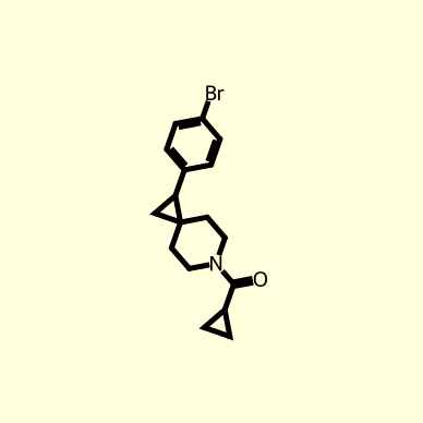 O=C(C1CC1)N1CCC2(CC1)CC2c1ccc(Br)cc1